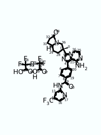 C[C@@]1(c2nc(-c3ccc(C(=O)Nc4cc(C(F)(F)F)ccn4)cc3)c3c(N)nccn23)CC[C@H]2CCC(=O)N2C1.O=C(O)C(F)(F)F.O=C(O)C(F)(F)F